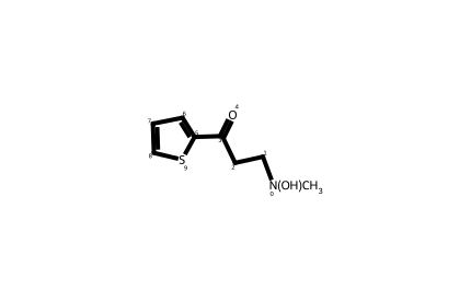 CN(O)CCC(=O)c1cccs1